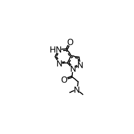 CN(C)CC(=O)n1ncc2c(=O)[nH]cnc21